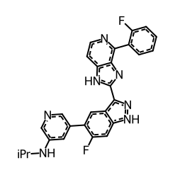 CC(C)Nc1cncc(-c2cc3c(-c4nc5c(-c6ccccc6F)nccc5[nH]4)n[nH]c3cc2F)c1